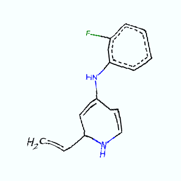 C=CC1C=C(Nc2ccccc2F)C=CN1